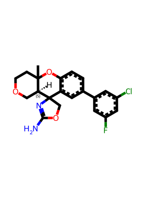 CC12CCOC[C@@H]1C1(COC(N)=N1)c1cc(-c3cc(F)cc(Cl)c3)ccc1O2